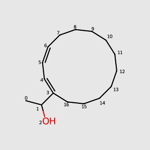 CC(O)C1=CC=CCCCCCCCCCC1